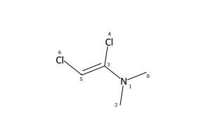 CN(C)/C(Cl)=C/Cl